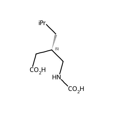 CC(C)C[C@H](CNC(=O)O)CC(=O)O